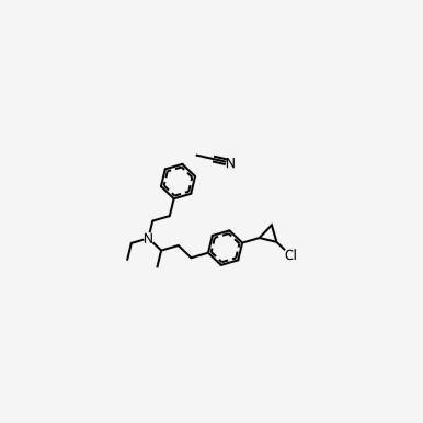 CC#N.CCN(CCc1ccccc1)C(C)CCc1ccc(C2CC2Cl)cc1